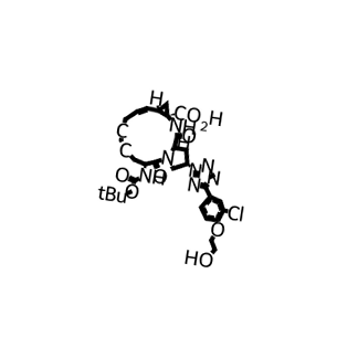 CC(C)(C)OC(=O)N[C@H]1CCCCC/C=C\[C@@H]2C[C@@]2(C(=O)O)NC(=O)[C@@H]2C[C@@H](n3nnc(-c4ccc(OCCO)c(Cl)c4)n3)CN2C1=O